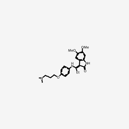 CCC(Nc1ccc(OCCCN(C)C)cc1)=C1C(=O)Nc2cc(OC)c(OC)cc21